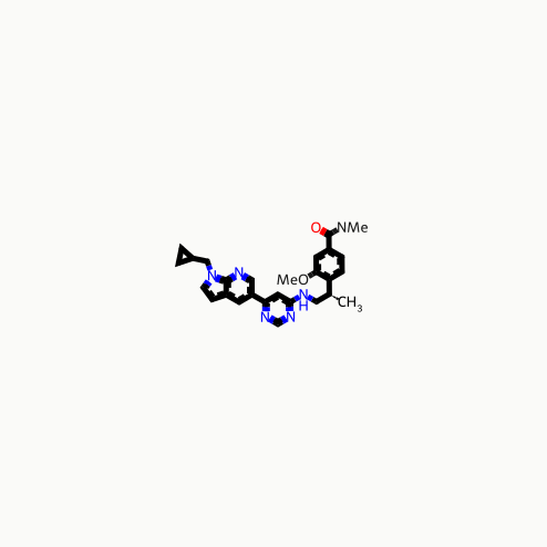 CNC(=O)c1ccc([C@H](C)CNc2cc(-c3cnc4c(ccn4CC4CC4)c3)ncn2)c(OC)c1